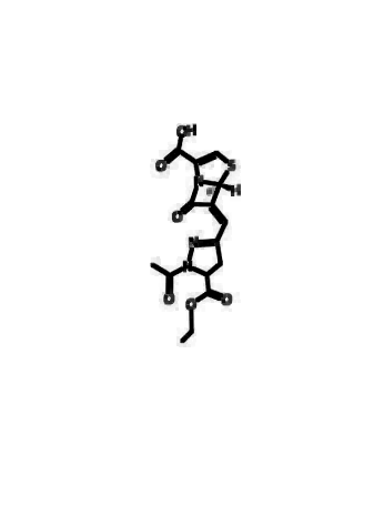 CCOC(=O)C1CC(C=C2C(=O)N3C(C(=O)O)=CS[C@H]23)=NN1C(C)=O